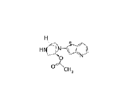 CC(=O)O[C@]12CN[C@@H](CN1c1cc3ncccc3s1)C2